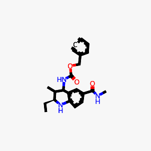 CC[C@@H]1Nc2ccc(C(=O)NC)cc2C(NC(=O)OCc2ccccc2)C1C